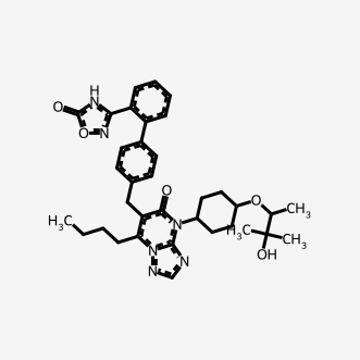 CCCCc1c(Cc2ccc(-c3ccccc3-c3noc(=O)[nH]3)cc2)c(=O)n(C2CCC(OC(C)C(C)(C)O)CC2)c2ncnn12